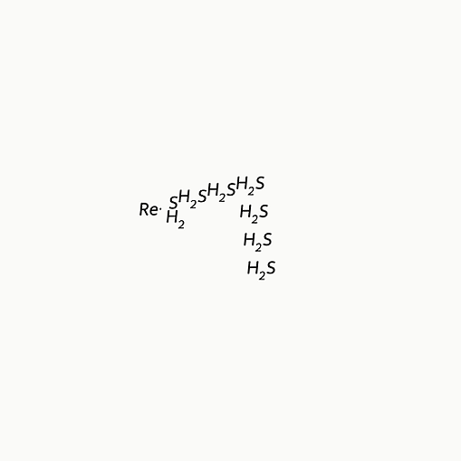 S.S.S.S.S.S.S.[Re]